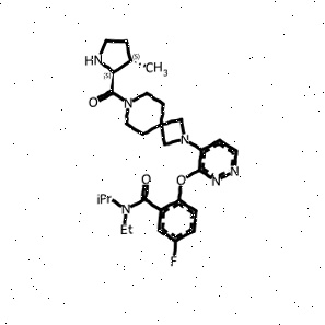 CCN(C(=O)c1cc(F)ccc1Oc1nnccc1N1CC2(CCN(C(=O)[C@H]3NCC[C@@H]3C)CC2)C1)C(C)C